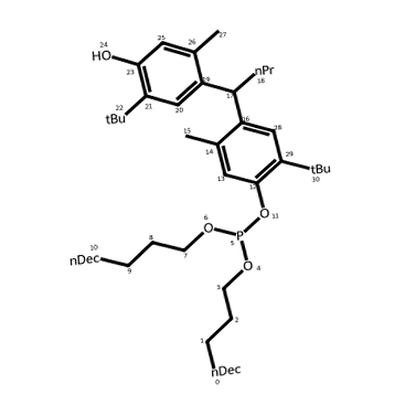 CCCCCCCCCCCCCOP(OCCCCCCCCCCCCC)Oc1cc(C)c(C(CCC)c2cc(C(C)(C)C)c(O)cc2C)cc1C(C)(C)C